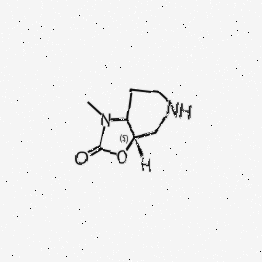 CN1C(=O)O[C@H]2CNCCC21